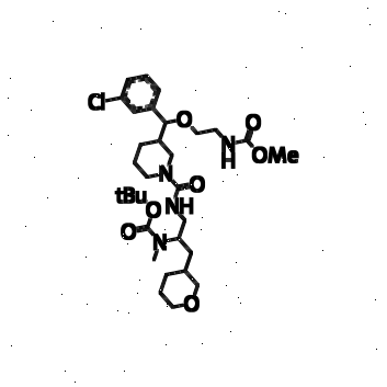 COC(=O)NCCOC(c1cccc(Cl)c1)C1CCCN(C(=O)NCC(CC2CCCOC2)N(C)C(=O)OC(C)(C)C)C1